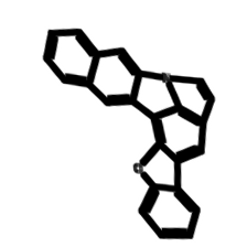 c1ccc2cc3c(cc2c1)c1c2oc4ccccc4c2cc2ccn3c21